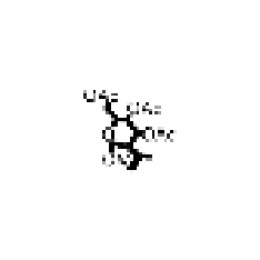 C=C(C)C1C(OC)OC(COC(C)=O)C(OC(C)=O)C1OC(C)=O